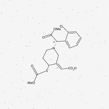 COC(=O)SC1CCN([C@H](C(=O)OC)c2ccccc2Cl)C/C1=C\C(=O)O